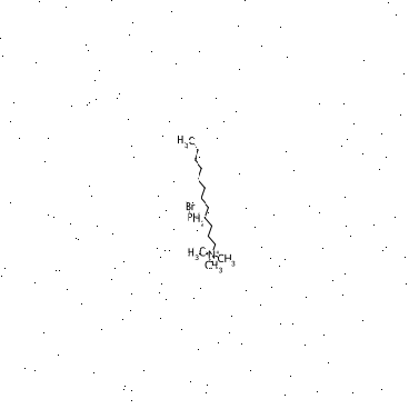 CCCCCCCCCCCC[N+](C)(C)C.PBr